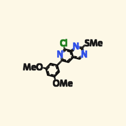 COc1cc(OC)cc(-c2cc3cnc(SC)nc3c(Cl)n2)c1